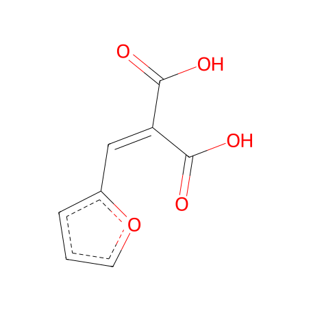 O=C(O)C(=Cc1ccco1)C(=O)O